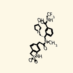 CN(C(=O)Cc1ccc2c(c1)NS(=O)(=O)C2)[C@H](CN1CC[C@H](O)C1)c1cccc(C(=O)NCC(F)(F)F)c1